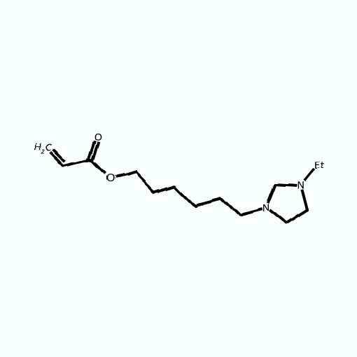 C=CC(=O)OCCCCCCN1CCN(CC)C1